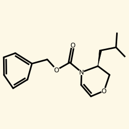 CC(C)C[C@H]1COC=CN1C(=O)OCc1ccccc1